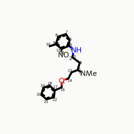 CNC(CCNc1cccc(C)c1[N+](=O)[O-])CCOCc1ccccc1